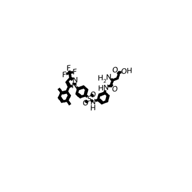 Cc1ccc(C)c(-c2cc(C(F)(F)F)nn2-c2ccc(S(=O)(=O)Nc3cccc(NC(=O)C(N)CC(=O)O)c3)cc2)c1